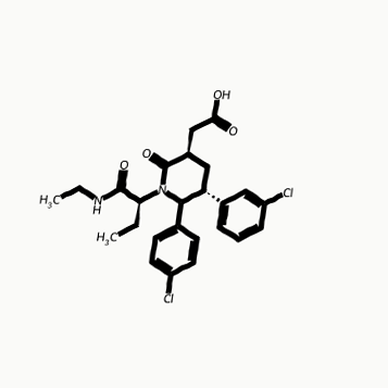 CCNC(=O)[C@H](CC)N1C(=O)[C@@H](CC(=O)O)C[C@H](c2cccc(Cl)c2)C1c1ccc(Cl)cc1